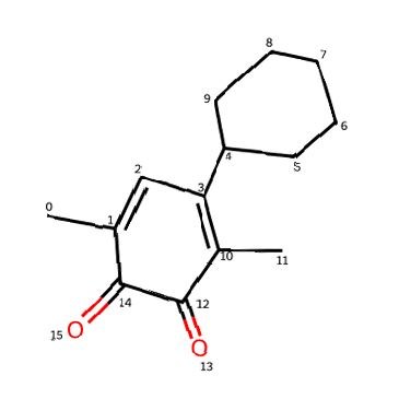 CC1=CC(C2CCCCC2)=C(C)C(=O)C1=O